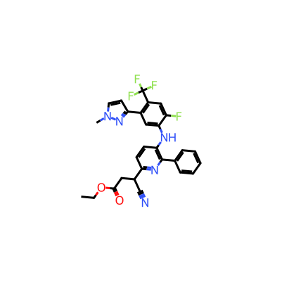 CCOC(=O)CC(C#N)c1ccc(Nc2cc(-c3ccn(C)n3)c(C(F)(F)F)cc2F)c(-c2ccccc2)n1